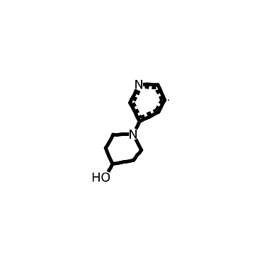 OC1CCN(c2c[c]cnc2)CC1